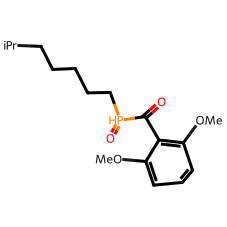 COc1cccc(OC)c1C(=O)[PH](=O)CCCCCC(C)C